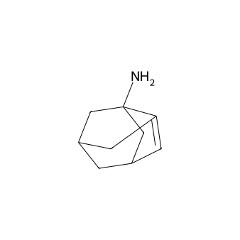 NC12CC3C=C1CC(C3)C2